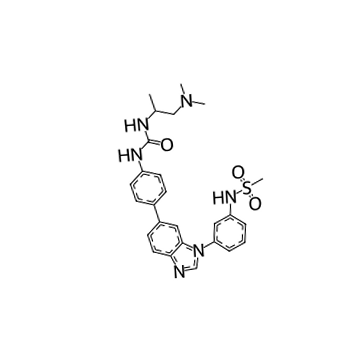 CC(CN(C)C)NC(=O)Nc1ccc(-c2ccc3ncn(-c4cccc(NS(C)(=O)=O)c4)c3c2)cc1